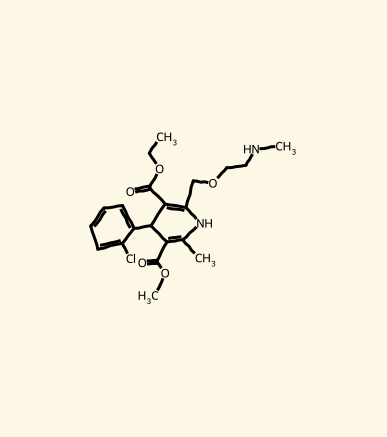 CCOC(=O)C1=C(COCCNC)NC(C)=C(C(=O)OC)C1c1ccccc1Cl